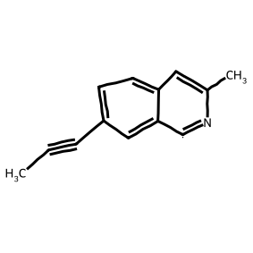 CC#Cc1ccc2cc(C)n[c]c2c1